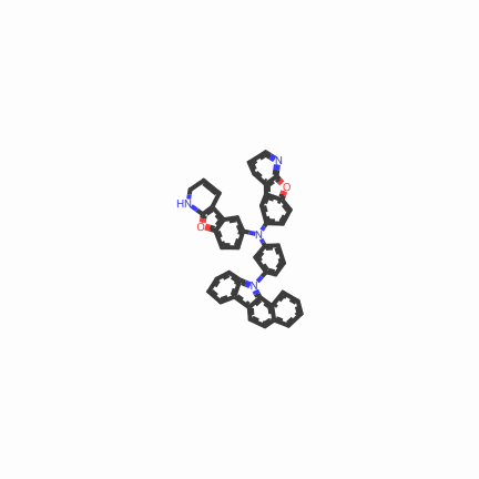 C1=Cc2c(oc3ccc(N(c4cccc(-n5c6ccccc6c6ccc7ccccc7c65)c4)c4ccc5oc6ncccc6c5c4)cc23)NC1